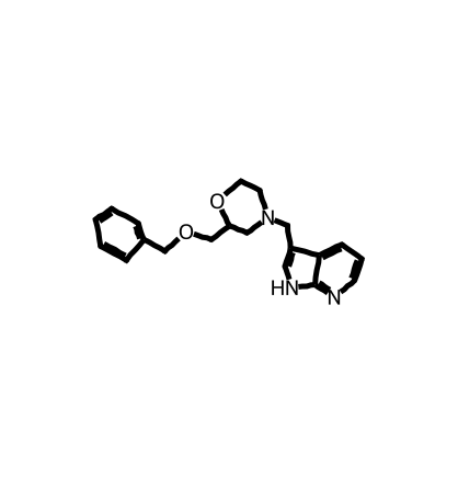 c1ccc(COCC2CN(Cc3c[nH]c4ncccc34)CCO2)cc1